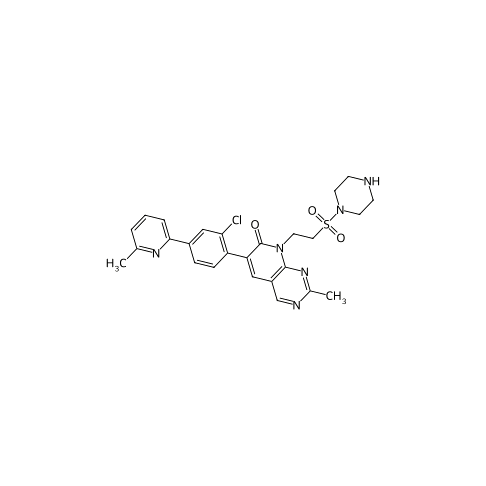 Cc1cccc(-c2ccc(-c3cc4cnc(C)nc4n(CCS(=O)(=O)N4CCNCC4)c3=O)c(Cl)c2)n1